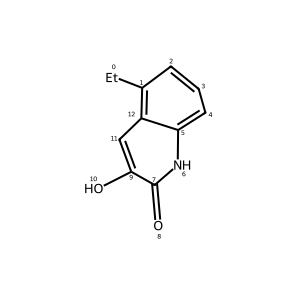 CCc1cccc2[nH]c(=O)c(O)cc12